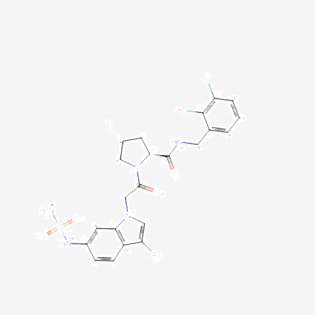 CC(=O)c1cn(CC(=O)N2C[C@H](F)C[C@H]2C(=O)NCc2cccc(Cl)c2F)c2cc(NS(N)(=O)=O)ccc12